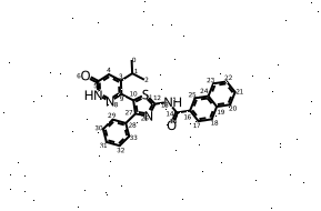 CC(C)c1cc(=O)[nH]nc1-c1sc(NC(=O)c2ccc3ccccc3c2)nc1-c1ccccc1